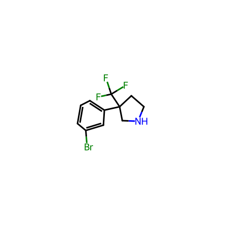 FC(F)(F)C1(c2cccc(Br)c2)CCNC1